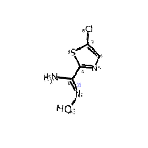 N/C(=N\O)c1ncc(Cl)s1